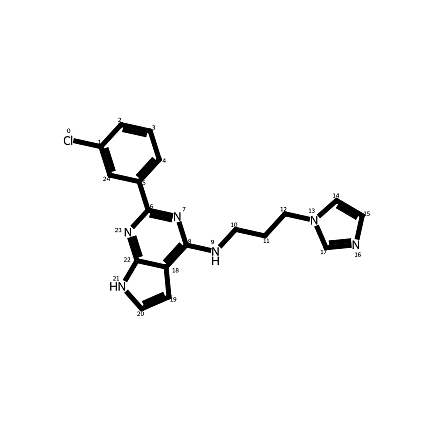 Clc1cccc(-c2nc(NCCCn3ccnc3)c3cc[nH]c3n2)c1